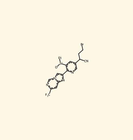 CC[S+]([O-])c1cc(C(C#N)CCBr)cnc1-c1cn2cnc(C(F)(F)F)cc2n1